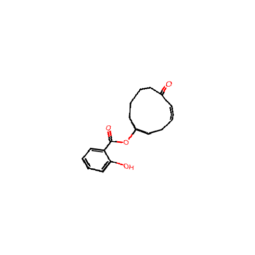 O=C1C=CCCC(OC(=O)c2ccccc2O)CCCC1